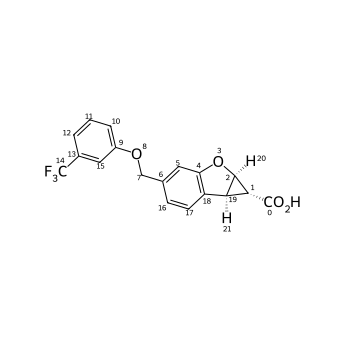 O=C(O)[C@H]1[C@@H]2Oc3cc(COc4cccc(C(F)(F)F)c4)ccc3[C@@H]21